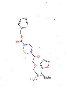 CN[C@H](c1ccco1)[C@H](C)COCC(=O)N1CCN(C(=O)OCc2ccccc2)CC1